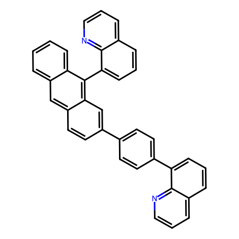 c1ccc2c(-c3cccc4cccnc34)c3cc(-c4ccc(-c5cccc6cccnc56)cc4)ccc3cc2c1